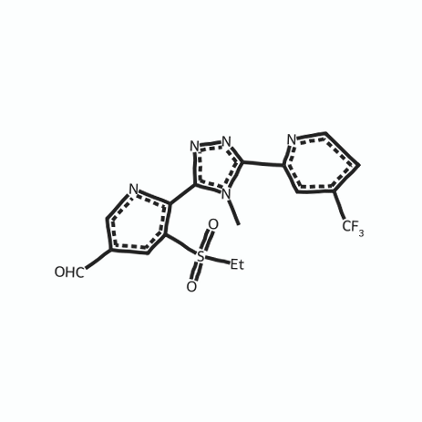 CCS(=O)(=O)c1cc(C=O)cnc1-c1nnc(-c2cc(C(F)(F)F)ccn2)n1C